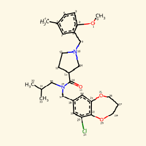 COc1ccc(C)cc1CN1CCC(C(=O)N(Cc2cc(Cl)c3c(c2)OCCCO3)CC(C)C)C1